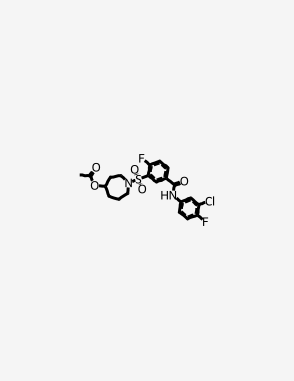 CC(=O)OC1CCCN(S(=O)(=O)c2cc(C(=O)Nc3ccc(F)c(Cl)c3)ccc2F)CC1